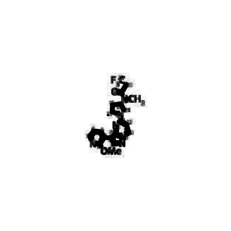 COc1ncccc1-c1cnn2ccc(N3CC[C@H](N(C)C(=O)CC(F)(F)F)C3)nc12